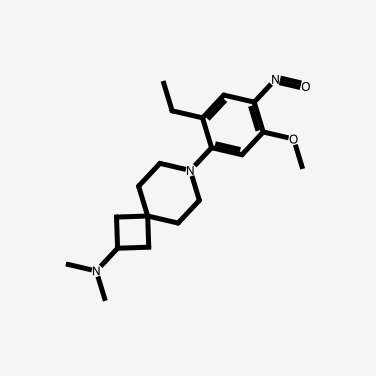 CCc1cc(N=O)c(OC)cc1N1CCC2(CC1)CC(N(C)C)C2